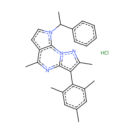 Cc1cc(C)c(-c2c(C)nn3c2nc(C)c2ccn(C(C)c4ccccc4)c23)c(C)c1.Cl